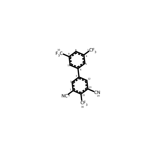 N#Cc1cc(-c2cc(C(F)(F)F)cc(C(F)(F)F)c2)cc(C#N)c1C(F)(F)F